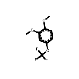 COc1ccc(OC(F)(F)F)cc1OC